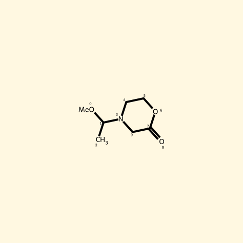 COC(C)N1CCOC(=O)C1